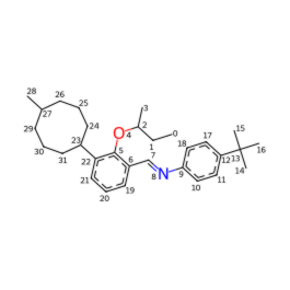 CCC(C)Oc1c(/C=N/c2ccc(C(C)(C)C)cc2)cccc1C1CCCC(C)CCC1